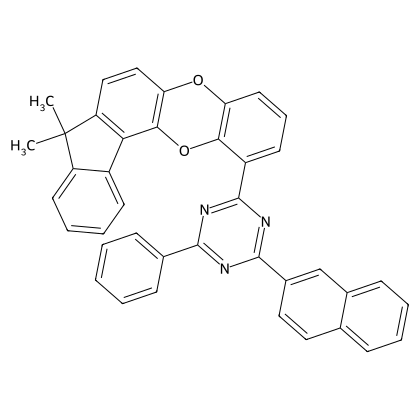 CC1(C)c2ccccc2-c2c1ccc1c2Oc2c(cccc2-c2nc(-c3ccccc3)nc(-c3ccc4ccccc4c3)n2)O1